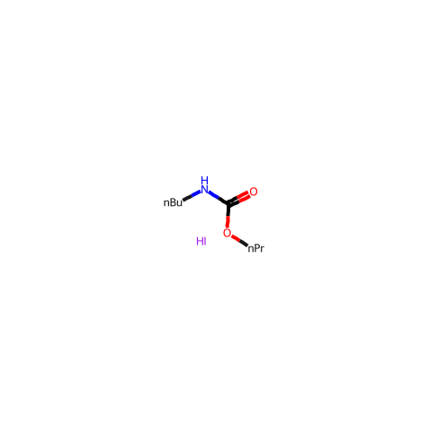 CCCCNC(=O)OCCC.I